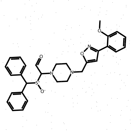 COc1ccccc1-c1cc(CN2CCN(C(C=O)[S+]([O-])C(c3ccccc3)c3ccccc3)CC2)on1